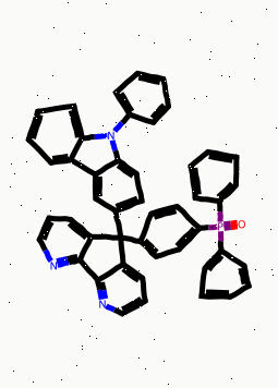 O=P(c1ccccc1)(c1ccccc1)c1ccc(C2(c3ccc4c(c3)c3ccccc3n4-c3ccccc3)c3cccnc3-c3ncccc32)cc1